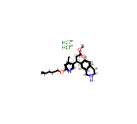 C=CCCCOc1cc(C)c(C(CC(=O)OC)c2ccc3c(c2)CNCC3)cn1.Cl.Cl